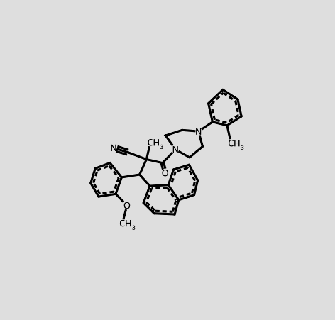 COc1ccccc1C(c1cccc2ccccc12)C(C)(C#N)C(=O)N1CCN(c2ccccc2C)CC1